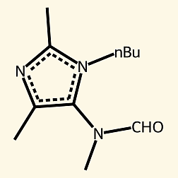 CCCCn1c(C)nc(C)c1N(C)C=O